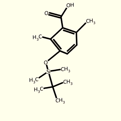 Cc1ccc(O[Si](C)(C)C(C)(C)C)c(C)c1C(=O)O